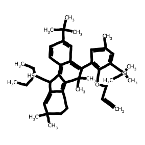 C=CCOc1c(C2=c3cc(C(C)(C)C)ccc3=C3C(=C4CCC(C)(C)C=C4C3[SiH](CC)CC)C2(C)C)cc(C)cc1[Si](C)(C)C